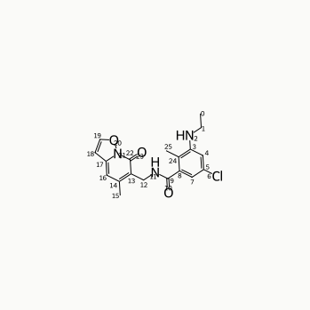 CCNc1cc(Cl)cc(C(=O)NCc2c(C)cc3ccon3c2=O)c1C